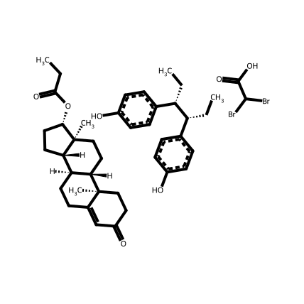 CCC(=O)O[C@H]1CC[C@H]2[C@@H]3CCC4=CC(=O)CC[C@]4(C)[C@H]3CC[C@]12C.CC[C@H](c1ccc(O)cc1)[C@@H](CC)c1ccc(O)cc1.O=C(O)C(Br)Br